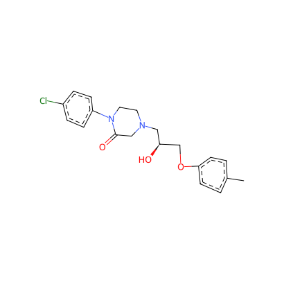 Cc1ccc(OC[C@@H](O)CN2CCN(c3ccc(Cl)cc3)C(=O)C2)cc1